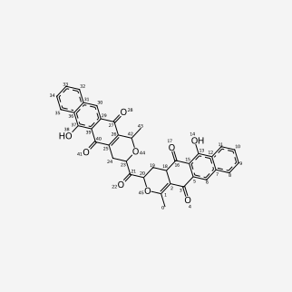 CC1=C2C(=O)c3cc4ccccc4c(O)c3C(=O)C2CC(C(=O)C2CC3=C(C(=O)c4cc5ccccc5c(O)c4C3=O)C(C)O2)O1